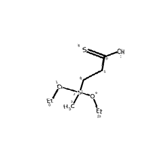 CCO[Si](C)(CCC(O)=S)OCC